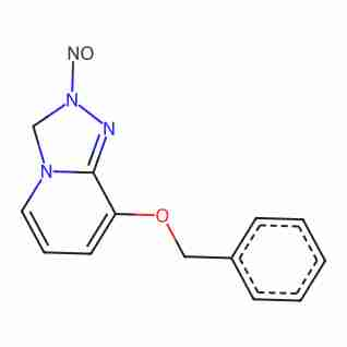 O=NN1CN2C=CC=C(OCc3ccccc3)C2=N1